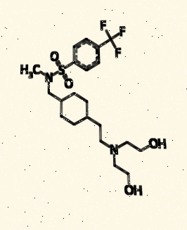 CN(CC1CCC(CCN(CCO)CCO)CC1)S(=O)(=O)c1ccc(C(F)(F)F)cc1